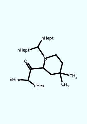 CCCCCCCC(CCCCCCC)N1CCC(C)(C)CC1C(=O)C(CCCCCC)CCCCCC